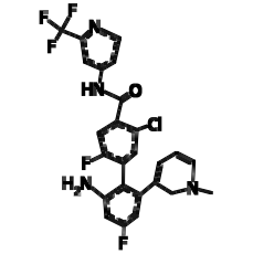 CN1C=CC=C(c2cc(F)cc(N)c2-c2cc(Cl)c(C(=O)Nc3ccnc(C(F)(F)F)c3)cc2F)C1